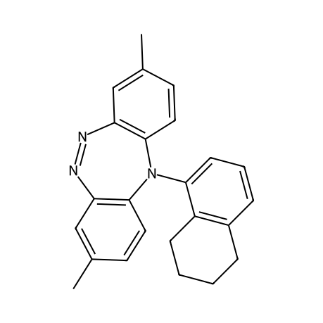 Cc1ccc2c(c1)N=Nc1cc(C)ccc1N2c1cccc2c1CCCC2